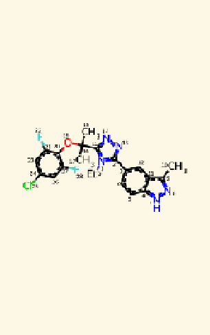 CCn1c(-c2ccc3[nH]nc(C)c3c2)nnc1C(C)(C)Oc1c(F)cc(Cl)cc1F